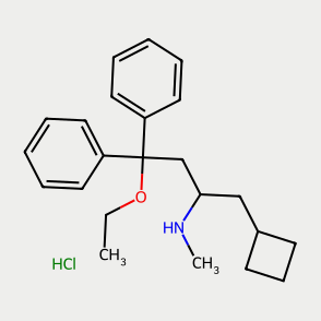 CCOC(CC(CC1CCC1)NC)(c1ccccc1)c1ccccc1.Cl